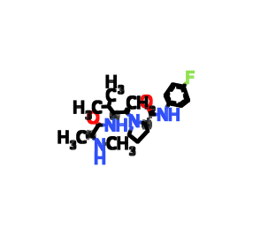 C=C([C@@H](NC(=O)[C@H](C)NC)C(C)C)N1CCC[C@H]1C(=O)Nc1ccc(F)cc1